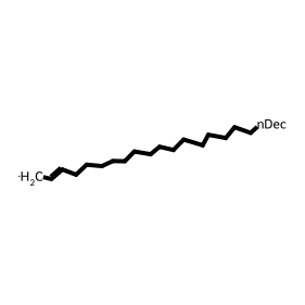 [CH2]C=CCCCCCCCCCCCCCCCCCCCCCCCC[CH2]